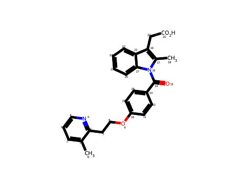 Cc1cccnc1CCOc1ccc(C(=O)n2c(C)c(CC(=O)O)c3ccccc32)cc1